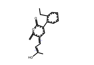 C=c1oc(=O)c(-c2ccccc2CC)c/c1=C/C=C(\C)O